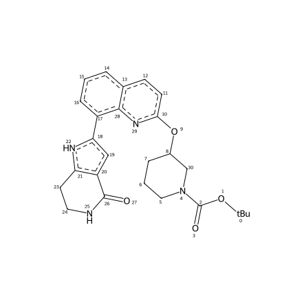 CC(C)(C)OC(=O)N1CCCC(Oc2ccc3cccc(-c4cc5c([nH]4)CCNC5=O)c3n2)C1